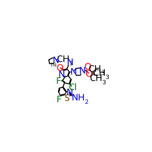 CN1CCC[C@H]1COc1nc2c(F)c(-c3ccc(F)c4sc(N)nc34)c(Cl)cc2c(N2CCN(C(=O)OC(C)(C)C)CC2)c1C#N